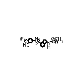 CC(C)OC1=CC=C(c2nnc(-c3cccc4c3CC[C@@H]4NCCS(C)(=O)=O)s2)CC1C#N